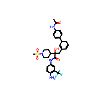 CC(=O)Nc1ccc(C2C=C(CC(O)(C(=O)Nc3ccc(N)c(C(F)(F)F)c3)C3CCN(S(C)(=O)=O)CC3)C=CC2)cc1